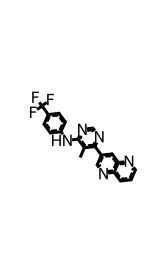 Cc1c(Nc2ccc(C(F)(F)F)cc2)ncnc1-c1cnc2cccnc2c1